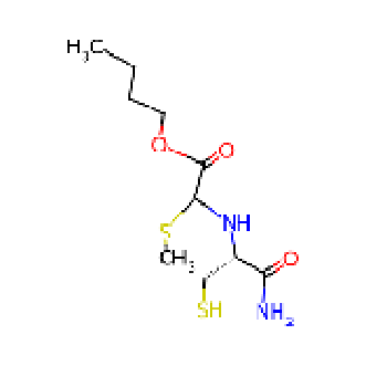 CCCCOC(=O)C(N[C@@H](CS)C(N)=O)SC